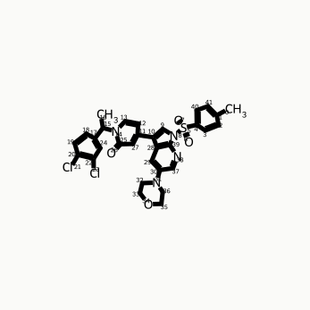 Cc1ccc(S(=O)(=O)n2cc(-c3ccn(C(C)c4ccc(Cl)c(Cl)c4)c(=O)c3)c3cc(N4CCOCC4)cnc32)cc1